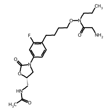 CCCN(OCCCCc1ccc(N2C[C@H](CNC(C)=O)OC2=O)cc1F)C(=O)CN